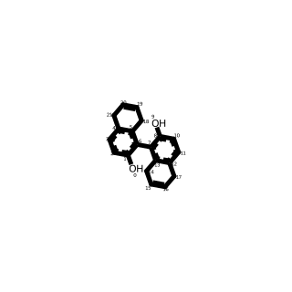 Oc1ccc2c(c1-c1c(O)ccc3c1CC=CC3)CC=CC2